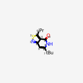 CC(C)c1snc2cc(C(C)(C)C)[nH]c(=O)c12